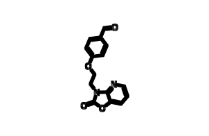 O=Cc1ccc(OCCn2c(=O)oc3cccnc32)cc1